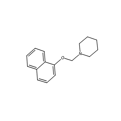 c1ccc2c(OCN3CCCCC3)cccc2c1